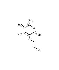 CCCO[C@@H]1[C@H](O)[C@@H](O)[C@H](C)O[C@H]1O